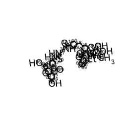 CCC1O[C@@H](Oc2cc(Cc3ccc(C(=O)NCCNC(=S)Nc4ccc5c(c4)C(=O)OC54c5ccc(O)cc5Oc5cc(O)ccc54)cc3)cc(C3(OC)OOC34C3CC5CC(C3)CC4C5)c2Cl)C(O)C(O)[C@H]1C